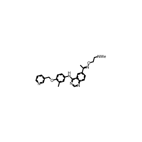 CNCCO/N=C(\C)c1ccc2ncnc(Nc3ccc(OCc4cccnc4)c(C)c3)c2c1